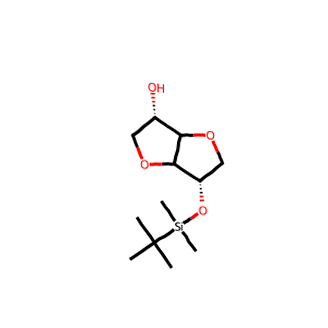 CC(C)(C)[Si](C)(C)O[C@H]1COC2C1OC[C@@H]2O